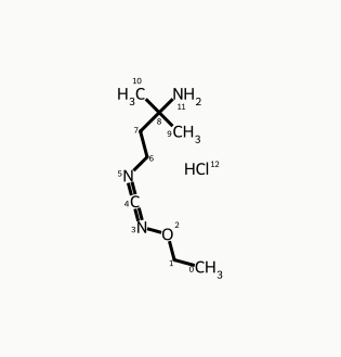 CCON=C=NCCC(C)(C)N.Cl